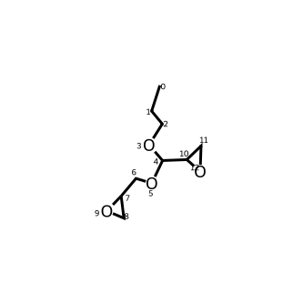 CCCOC(OCC1CO1)C1CO1